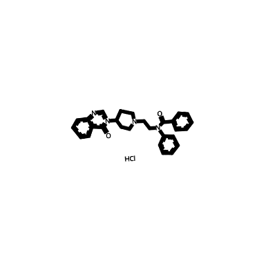 Cl.O=C(c1ccccc1)N(CCN1CCC(n2cnc3ccccc3c2=O)CC1)c1ccccc1